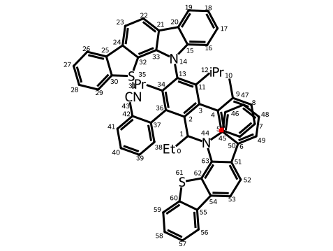 CCC(c1c(-c2ccccc2C)c(C(C)C)c(-n2c3ccccc3c3ccc4c5ccccc5sc4c32)c(C(C)C)c1-c1ccccc1C#N)n1c2ccccc2c2ccc3c4ccccc4sc3c21